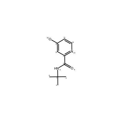 CC(C)(C)NC(=O)c1cc([O])ccn1